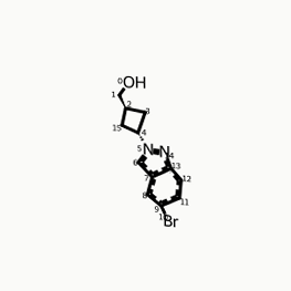 OC[C@H]1C[C@H](n2cc3cc(Br)ccc3n2)C1